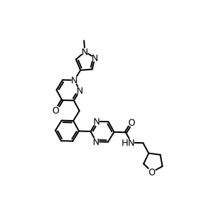 Cn1cc(-n2ccc(=O)c(Cc3ccccc3-c3ncc(C(=O)NCC4CCOC4)cn3)n2)cn1